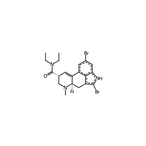 CCN(CC)C(=O)[C@@H]1C=C2c3cc(Br)cc4[nH]c(Br)c(c34)C[C@H]2N(C)C1